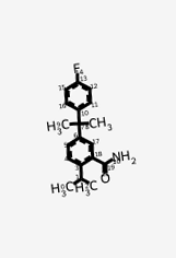 CC(C)c1ccc(C(C)(C)c2ccc(F)cc2)cc1C(N)=O